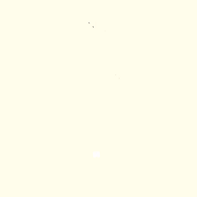 C#Cc1sc2c(N)cccc2c1/C=C\C